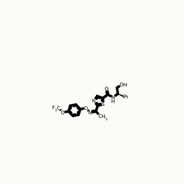 CC(=NOc1ccc(OC(F)(F)F)cc1)c1ncc(C(=O)N[C@@H](CO)C(C)C)s1